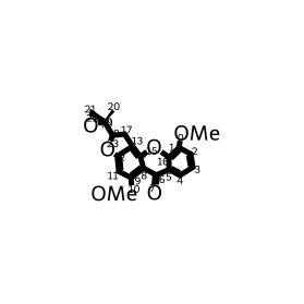 COc1cccc2c(=O)c3c(OC)cc4c(c3oc12)CC([C@@]1(C)CO1)O4